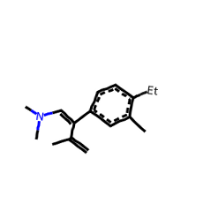 C=C(C)/C(=C\N(C)C)c1ccc(CC)c(C)c1